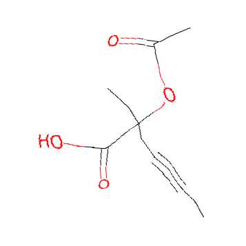 CC#CC(C)(OC(C)=O)C(=O)O